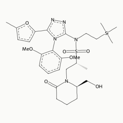 COc1cccc(OC)c1-n1c(-c2ccc(C)o2)nnc1N(CC[Si](C)(C)C)S(=O)(=O)[C@H](C)CN1C(=O)CCC[C@@H]1CO